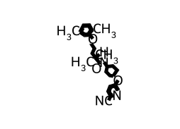 Cc1ccc(C)c(OCCCC(C)(C)C(=O)NC2CCC(Oc3ccc(C#N)nc3)CC2)c1